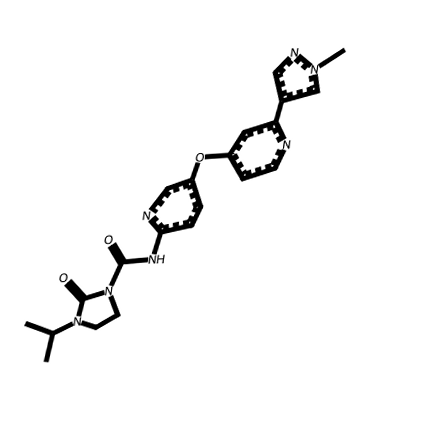 CC(C)N1CCN(C(=O)Nc2ccc(Oc3ccnc(-c4cnn(C)c4)c3)cn2)C1=O